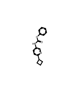 O=C(Nc1ccc(C2CCC2)nc1)Oc1ccccc1